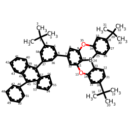 CC(C)(C)c1cc(-c2cc3c4c(c2)Oc2cc(C(C)(C)C)ccc2B4c2ccc(C(C)(C)C)cc2O3)cc(-c2c3ccccc3c(-c3ccccc3)c3ccccc23)c1